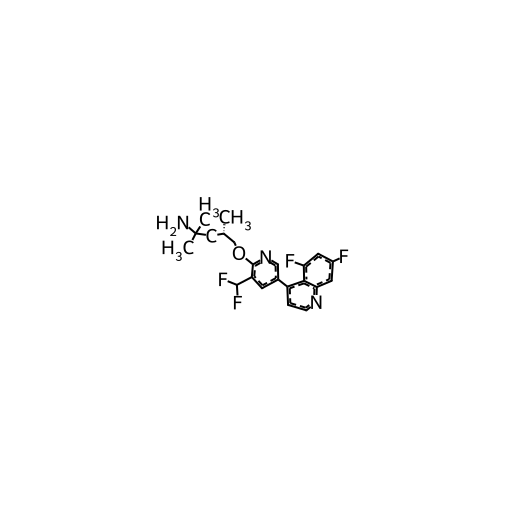 C[C@H](COc1ncc(-c2ccnc3cc(F)cc(F)c23)cc1C(F)F)CC(C)(C)N